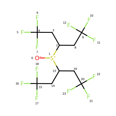 [O-][S+](C(CC(F)(F)F)CC(F)(F)F)C(CC(F)(F)F)CC(F)(F)F